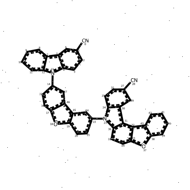 N#Cc1ccc2c(c1)c1ccccc1n2-c1ccc2oc3ccc(-n4c5ccc(C#N)cc5c5c6c(ccc54)oc4ccccc46)cc3c2c1